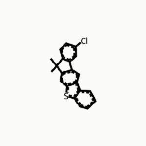 CC1(C)c2ccc(Cl)cc2-c2cc3c(cc21)sc1ccccc13